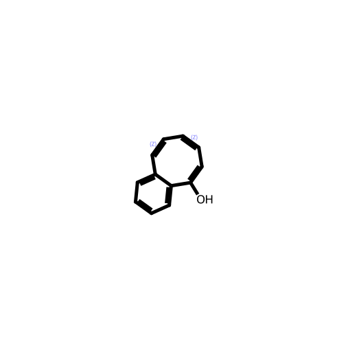 OC1=C/C=C\C=C/c2ccccc21